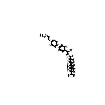 CCC[C@H]1CC[C@H](c2ccc(C(=O)OCC(F)(F)C(F)(F)C(F)(F)C(F)(F)C(F)(F)C(F)F)cc2)CC1